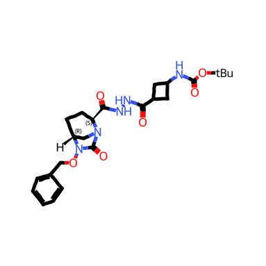 CC(C)(C)OC(=O)NC1CC(C(=O)NNC(=O)[C@@H]2CC[C@@H]3CN2C(=O)N3OCc2ccccc2)C1